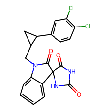 O=C1NC(=O)C2(N1)C(=O)N(CC1CC1c1ccc(Cl)c(Cl)c1)c1ccccc12